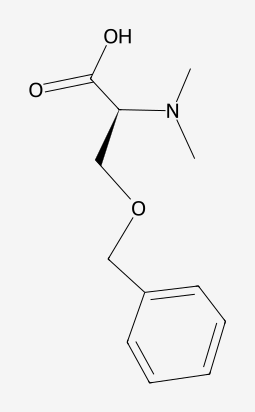 CN(C)[C@@H](COCc1ccccc1)C(=O)O